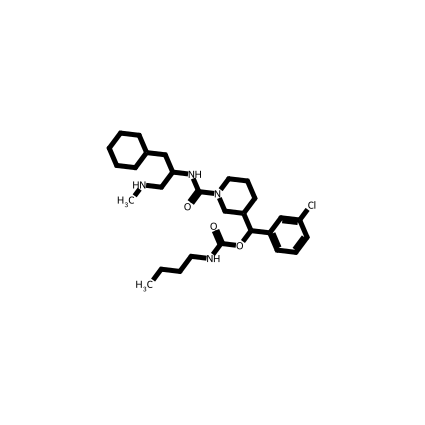 CCCCNC(=O)OC(c1cccc(Cl)c1)C1CCCN(C(=O)NC(CNC)CC2CCCCC2)C1